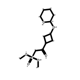 COP(=O)(CC(=O)C1CC(OC2CCCCO2)C1)OC